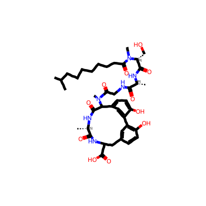 CC(C)CCCCCCCC(=O)N(C)[C@H](CO)C(=O)N[C@H](C)C(=O)NCC(=O)N(C)C1C(=O)N[C@@H](C)C(=O)NC(C(=O)O)Cc2ccc(O)c(c2)-c2cc1ccc2O